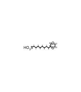 O=S(=O)(O)CCCCCCCCC1COCCO1